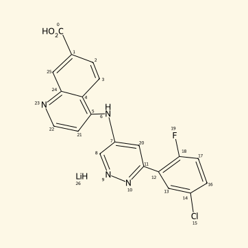 O=C(O)c1ccc2c(Nc3cnnc(-c4cc(Cl)ccc4F)c3)ccnc2c1.[LiH]